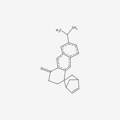 CC(C)c1ccc2cc3c(cc2c1)C(=O)CCC31CC2C=CC1C2